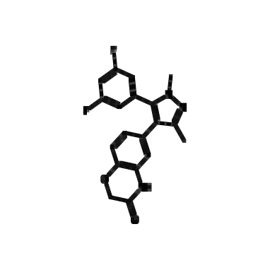 Cc1nn(C)c(-c2cc(F)cc(F)c2)c1-c1ccc2c(c1)NC(=O)CO2